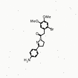 COc1cc(Br)c(CC(=O)N2CCC(c3ccc(N)cc3)=N2)cc1OC